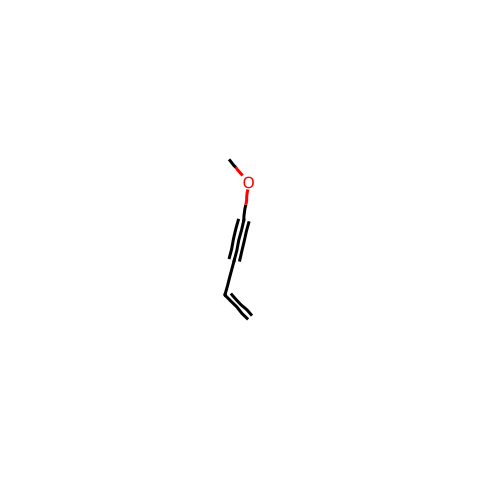 C=CC#COC